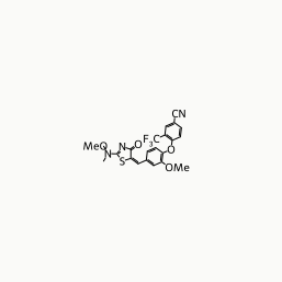 COc1cc(/C=C2/SC(N(C)OC)=NC2=O)ccc1Oc1ccc(C#N)cc1C(F)(F)F